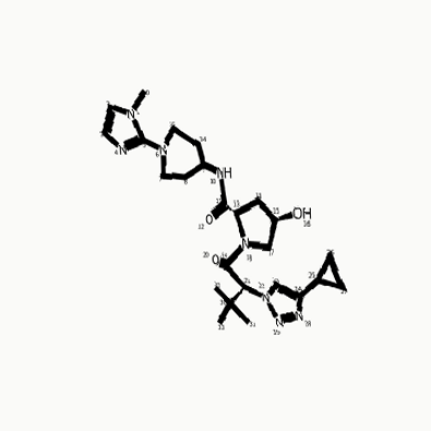 Cn1ccnc1N1CCC(NC(=O)[C@@H]2C[C@@H](O)CN2C(=O)[C@@H](n2cc(C3CC3)nn2)C(C)(C)C)CC1